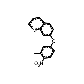 Cc1cc(Oc2ccc3cccnc3c2)ccc1[N+](=O)[O-]